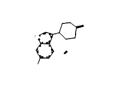 C=C.O=C1CCC(c2c[nH]c3cc(F)ccc23)CC1